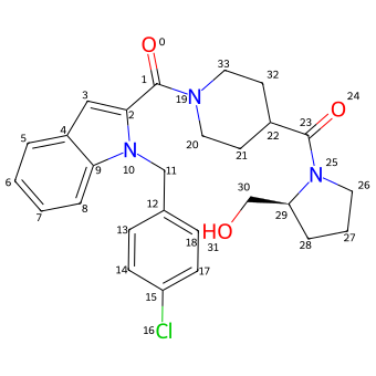 O=C(c1cc2ccccc2n1Cc1ccc(Cl)cc1)N1CCC(C(=O)N2CCC[C@H]2CO)CC1